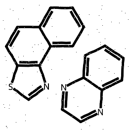 c1ccc2c(c1)ccc1scnc12.c1ccc2nccnc2c1